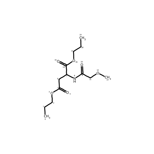 CCCOC(=O)CC(NC(=O)COC)C(=O)OCCC